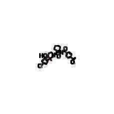 C=C(OC)c1ccc(C(=O)N[C@@H]2CCCC[C@@H]2C(=O)N2CC[C@](O)(c3ccc(Cl)cc3)C(C)(C)C2)cc1